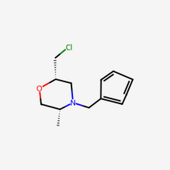 C[C@@H]1CO[C@H](CCl)CN1Cc1ccccc1